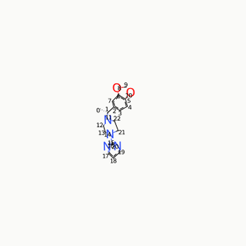 C[C@H](c1ccc2c(c1)OCO2)N1CCN(c2ncccn2)CC1